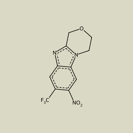 O=[N+]([O-])c1cc2c(cc1C(F)(F)F)nc1n2CCOC1